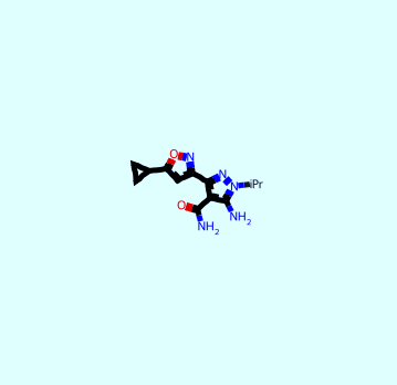 CC(C)n1nc(-c2cc(C3CC3)on2)c(C(N)=O)c1N